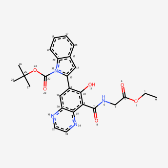 CCOC(=O)CNC(=O)c1c(O)c(-c2cc3ccccc3n2C(=O)OC(C)(C)C)cc2nccnc12